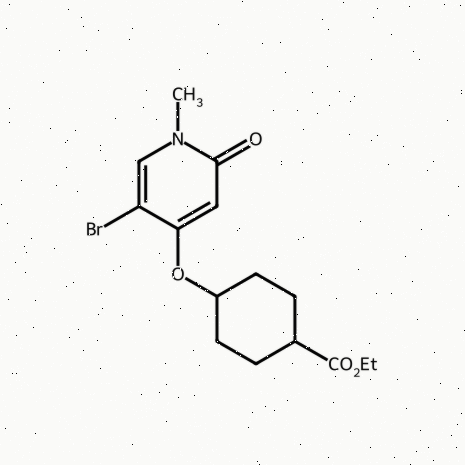 CCOC(=O)C1CCC(Oc2cc(=O)n(C)cc2Br)CC1